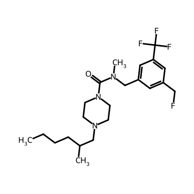 CCCCC(C)CN1CCN(C(=O)N(C)Cc2cc(CF)cc(C(F)(F)F)c2)CC1